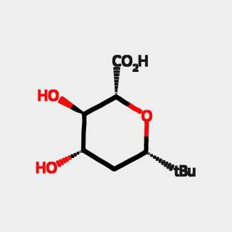 CC(C)(C)[C@@H]1C[C@H](O)[C@@H](O)[C@H](C(=O)O)O1